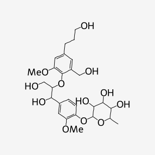 COc1cc(C(O)C(CO)Oc2c(CO)cc(CCCO)cc2OC)ccc1OC1OC(C)C(O)C(O)C1O